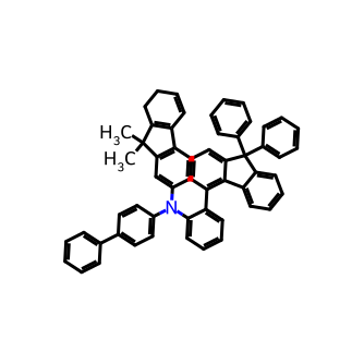 CC1(C)C2=C(C=CCC2)c2ccc(N(c3ccc(-c4ccccc4)cc3)c3ccccc3-c3cccc4c3-c3ccccc3C4(c3ccccc3)c3ccccc3)cc21